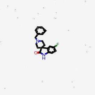 O=C1Nc2ccc(F)cc2C12CCN(Cc1ccccc1)CC2